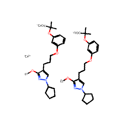 CCOc1nn(C2CCCC2)cc1CCCOc1cccc(OC(C)(C)C(=O)[O-])c1.CCOc1nn(C2CCCC2)cc1CCCOc1cccc(OC(C)(C)C(=O)[O-])c1.[Ca+2]